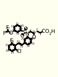 O=C(O)CC[C@H]1CN(S(=O)(=O)c2cccc(OC(F)F)c2)c2cc(C=Cc3c(F)cccc3Cl)ccc2O1